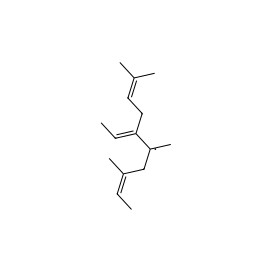 CC=C(C)C[C](C)C(=CC)CC=C(C)C